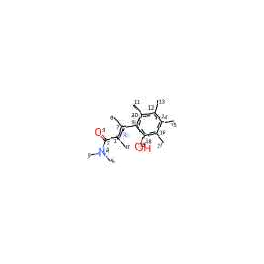 C/C(C(=O)N(C)C)=C(/C)c1c(C)c(C)c(C)c(C)c1O